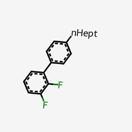 CCCCCCCc1ccc(-c2cccc(F)c2F)cc1